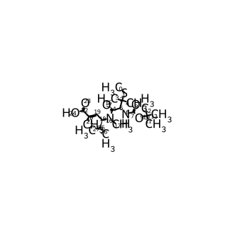 CSC(C)(C)[C@H](NC(=O)OC(C)(C)C)C(=O)N(C)[C@H](/C=C(\C)C(=O)O)C(C)C